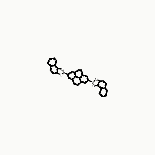 c1ccc2c3c(ccc2c1)OB(c1cc2ccc4cc(B5Oc6ccc7ccccc7c6O5)cc5ccc(c1)c2c45)O3